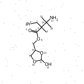 CC(C)CC(C)(C(=O)OCC1COC(O)O1)C(C)(C)N